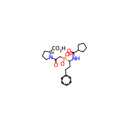 O=C(NC(CCc1ccccc1)P(=O)(O)CC(=O)N1CCC[C@H]1C(=O)O)C1CCCC1